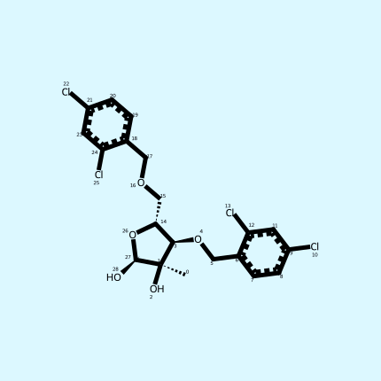 C[C@@]1(O)[C@H](OCc2ccc(Cl)cc2Cl)[C@@H](COCc2ccc(Cl)cc2Cl)O[C@@H]1O